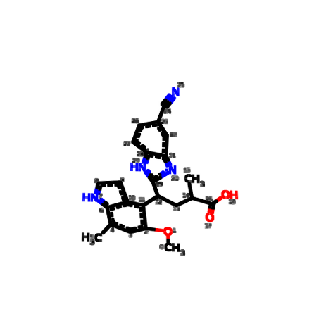 COc1cc(C)c2[nH]ccc2c1C(CC(C)C(=O)O)c1nc2cc(C#N)ccc2[nH]1